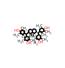 CC1=CC(C(C2=C(C)C(C)[C@H](O)[C@H](C)C2)[C@H]2CCC3CC=C(C(c4cc(C)c(O)c(C)c4C)C4CC(C)C(O)=C(C)[C@H]4C)C[C@H]3C2)[C@H](C)C(C)=C1O